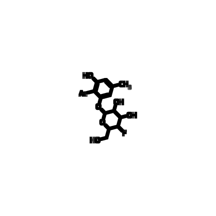 CC(=O)c1c(O)cc(C)cc1OC1OC(CO)C(F)C(O)C1O